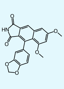 COc1cc(OC)c2c(-c3ccc4c(c3)OCO4)c3c(cc2c1)C(=O)NC3=O